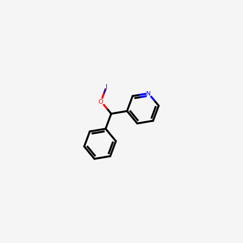 IOC(c1ccccc1)c1cccnc1